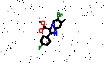 COC(=O)c1c(-c2ccc(F)cc2)nc2cc(C)c(Br)cn12